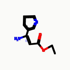 CCOC(=O)/C=C(/N)c1cccnc1